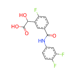 O=C(Nc1ccc(F)c(F)c1)c1ccc(F)c(C(O)C(=O)O)c1